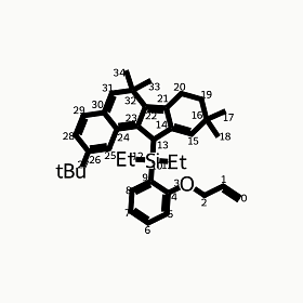 C=CCOc1ccccc1[Si](CC)(CC)C1C2=CC(C)(C)CCC2=C2C1=c1cc(C(C)(C)C)ccc1=CC2(C)C